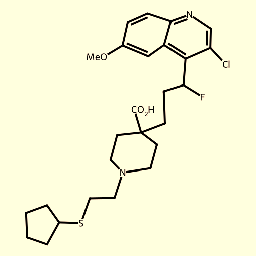 COc1ccc2ncc(Cl)c(C(F)CCC3(C(=O)O)CCN(CCSC4CCCC4)CC3)c2c1